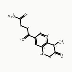 COC(=O)CCC(=O)c1cnc2c(c1)OCC(=O)N2C